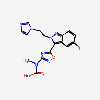 CN(C(=O)O)c1noc(-c2c3cc(F)ccc3nn2CCn2ccnc2)n1